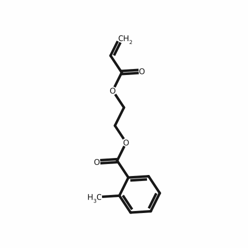 C=CC(=O)OCCOC(=O)c1ccccc1C